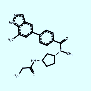 CCC(=O)N[C@H]1CC[C@@H](N(C)C(=O)c2ccc(-c3cc(C)c4[nH]ncc4c3)cc2)C1